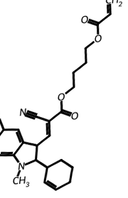 C=CC(=O)OCCCCOC(=O)/C(C#N)=C/C1C2=CC(Cl)CC=C2N(C)C1C1C=CCCC1